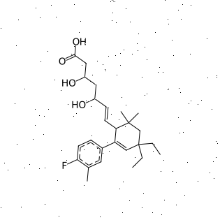 CCC1(CC)C=C(c2ccc(F)c(C)c2)C(C=CC(O)CC(O)CC(=O)O)C(C)(C)C1